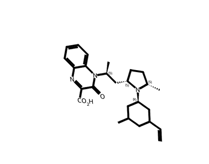 C=CC1CC(C)C[C@@H](N2[C@H](C[C@H](C)n3c(=O)c(C(=O)O)nc4ccccc43)CC[C@@H]2C)C1